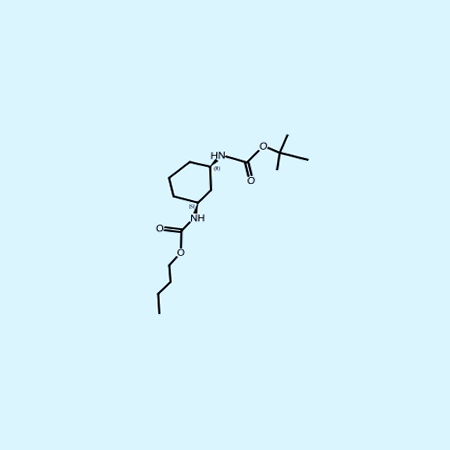 CCCCOC(=O)N[C@H]1CCC[C@@H](NC(=O)OC(C)(C)C)C1